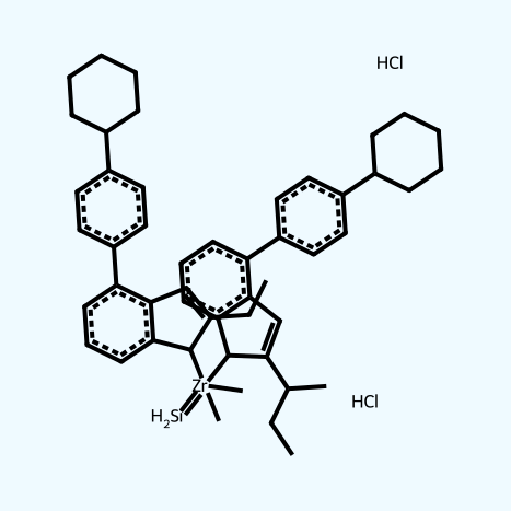 CCC1=Cc2c(-c3ccc(C4CCCCC4)cc3)cccc2[CH]1[Zr]([CH3])([CH3])(=[SiH2])[CH]1C(C(C)CC)=Cc2c(-c3ccc(C4CCCCC4)cc3)cccc21.Cl.Cl